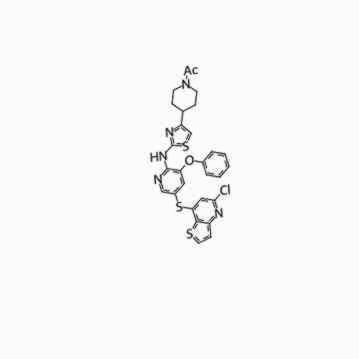 CC(=O)N1CCC(c2csc(Nc3ncc(Sc4cc(Cl)nc5ccsc45)cc3Oc3ccccc3)n2)CC1